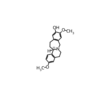 COc1ccc2c(c1)CCN1Cc3cc(OC)c(O)cc3CC[C@@H]21